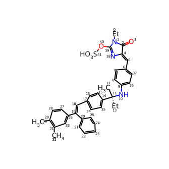 CCN1C(=O)/C(=C/c2ccc(N[C@@](C)(CC)c3ccc(/C=C(\c4ccccc4)c4ccc(C)c(C)c4)cc3)cc2)N=C1OS(=O)(=O)O